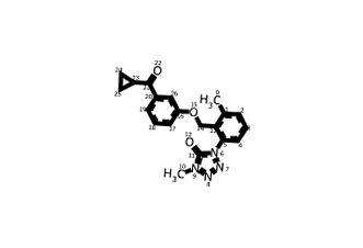 Cc1cccc(-n2nnn(C)c2=O)c1COc1cccc(C(=O)C2CC2)c1